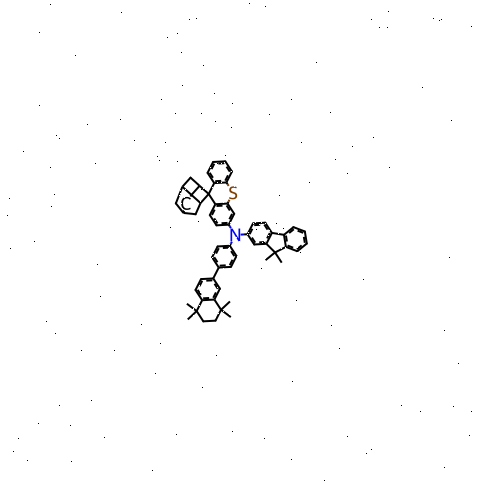 CC1(C)CCC(C)(C)c2cc(-c3ccc(N(c4ccc5c(c4)Sc4ccccc4C54C5CC6CC7CC4C75C6)c4ccc5c(c4)C(C)(C)c4ccccc4-5)cc3)ccc21